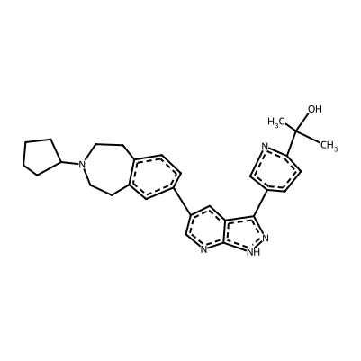 CC(C)(O)c1ccc(-c2n[nH]c3ncc(-c4ccc5c(c4)CCN(C4CCCC4)CC5)cc23)cn1